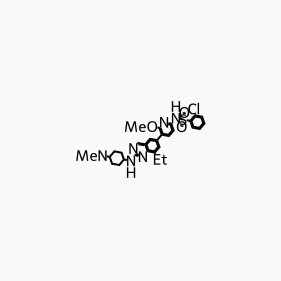 CCc1cc(-c2ccc(NS(=O)(=O)c3ccccc3Cl)nc2OC)cc2cnc(NC3CCC(NC)CC3)nc12